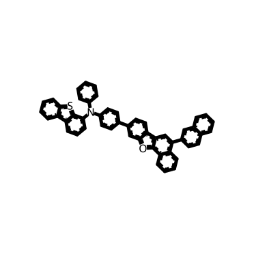 c1ccc(N(c2ccc(-c3ccc4c(c3)oc3c5ccccc5c(-c5ccc6ccccc6c5)cc43)cc2)c2cccc3c2sc2ccccc23)cc1